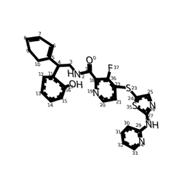 O=C(NCC(C1=CC=CCC1)c1ccccc1O)c1nccc(Sc2cnc(Nc3ccccn3)s2)c1F